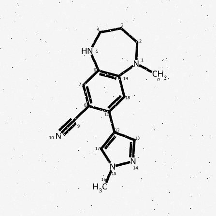 CN1CCCNc2cc(C#N)c(-c3cnn(C)c3)cc21